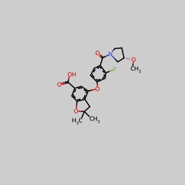 CO[C@H]1CCN(C(=O)c2ccc(Oc3cc(C(=O)O)cc4c3CC(C)(C)O4)cc2F)C1